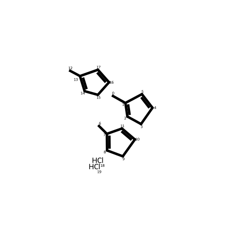 CC1=CCC=C1.CC1=CCC=C1.CC1=CCC=C1.Cl.Cl